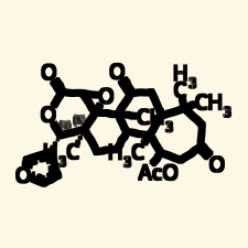 CC(=O)OC1CC(=O)CC(C)(C)C2CC(=O)C3(C)C(CC[C@@]4(C)[C@H](c5ccoc5)OC(=O)C5OC534)C12C